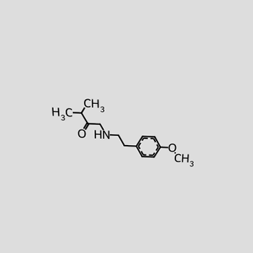 COc1ccc(CCNCC(=O)C(C)C)cc1